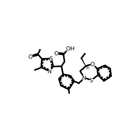 CC[C@@H]1CN(Cc2cc(C(CC(=O)O)c3nc(C)c(C(C)=O)s3)ccc2C)Sc2ccccc2O1